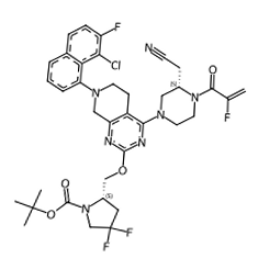 C=C(F)C(=O)N1CCN(c2nc(OC[C@@H]3CC(F)(F)CN3C(=O)OC(C)(C)C)nc3c2CCN(c2cccc4ccc(F)c(Cl)c24)C3)C[C@@H]1CC#N